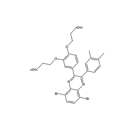 CCCCCCCCCCCCOc1ccc(-c2nc3c(Br)ccc(Br)c3nc2-c2ccc(C)c(C)c2)cc1OCCCCCCCCCCCC